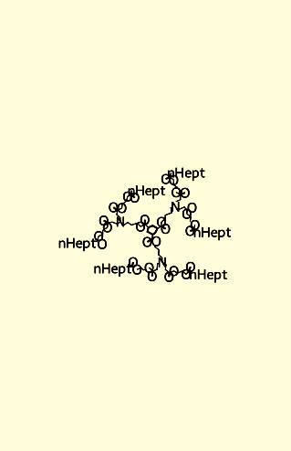 CCCCCCCC(=O)OCCOC(=O)CCN(CCCCOC(=O)c1cc(C(=O)OCCCCN(CCC(=O)OCCOC(=O)CCCCCCC)CCC(=O)OCCOC(=O)CCCCCCC)cc(C(=O)OCCCCN(CCC(=O)OCCOC(=O)CCCCCCC)CCC(=O)OCCOC(=O)CCCCCCC)c1)CCC(=O)OCCOC(=O)CCCCCCC